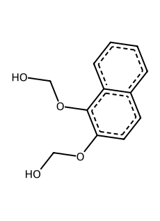 OCOc1ccc2ccccc2c1OCO